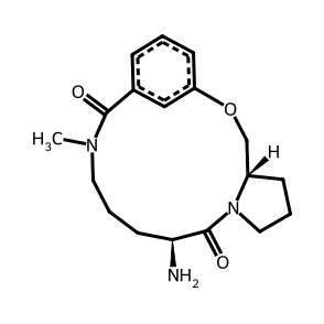 CN1CCC[C@H](N)C(=O)N2CCC[C@H]2COc2cccc(c2)C1=O